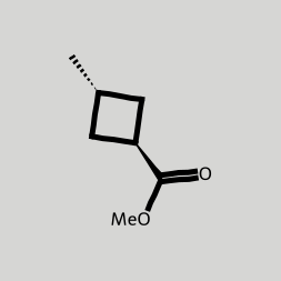 COC(=O)[C@H]1C[C@H](C)C1